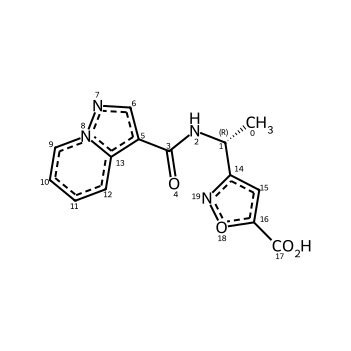 C[C@@H](NC(=O)c1cnn2ccccc12)c1cc(C(=O)O)on1